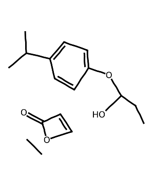 CC.CCC(O)Oc1ccc(C(C)C)cc1.O=C1C=CO1